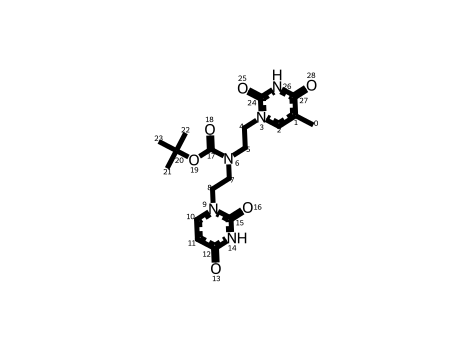 Cc1cn(CCN(CCn2ccc(=O)[nH]c2=O)C(=O)OC(C)(C)C)c(=O)[nH]c1=O